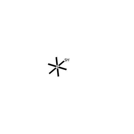 CS(C)(C)(C)(C)S